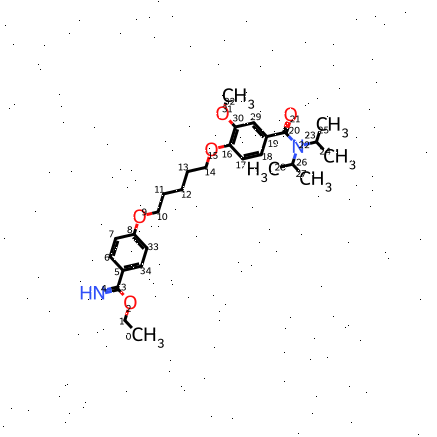 CCOC(=N)c1ccc(OCCCCCOc2ccc(C(=O)N(C(C)C)C(C)C)cc2OC)cc1